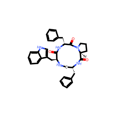 O=C1N[C@H](Cc2ccccc2)C(=O)N2CCC[C@H]2C(=O)N[C@H](Cc2ccccc2)CN[C@H]1Cc1c[nH]c2ccccc12